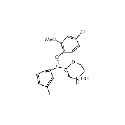 COc1cc(Cl)ccc1O[C@@H](c1cccc(C)c1)[C@@H]1CNCCO1.Cl